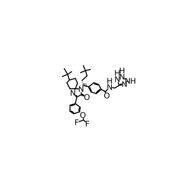 CC(C)(C)CC[C@H](c1ccc(C(=O)NCC2=NNNN2)cc1)N1C(=O)C(c2cccc(OC(F)F)c2)=NC12CCC(C(C)(C)C)CC2